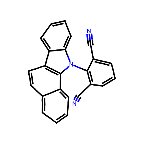 N#Cc1cccc(C#N)c1-n1c2ccccc2c2ccc3ccccc3c21